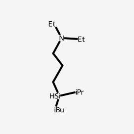 CCC(C)[SiH](CCCN(CC)CC)C(C)C